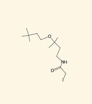 CC(C)(C)CCOC(C)(C)CCNC(=O)CI